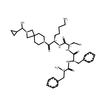 CC(C)C[C@@H](NC(=O)[C@@H](Cc1ccccc1)NC(=O)[C@H](N)Cc1ccccc1)C(=O)N[C@H](CCCCN)C(=O)N1CCC2(CC1)CN(C(O)C1CC1)C2